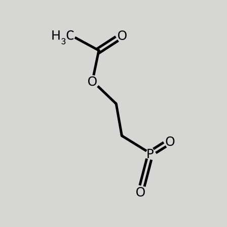 CC(=O)OCCP(=O)=O